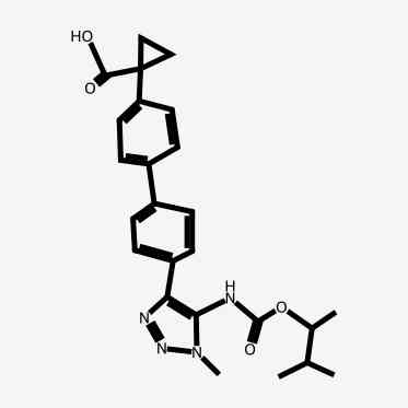 CC(C)C(C)OC(=O)Nc1c(-c2ccc(-c3ccc(C4(C(=O)O)CC4)cc3)cc2)nnn1C